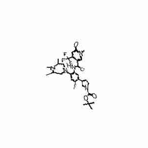 CC1CN(c2cc(F)c(C3=CCN(C(=O)OC(C)(C)C)C3)cc2NC(=O)c2cn(C)c(=O)cc2C(F)(F)F)CC(C)N1C